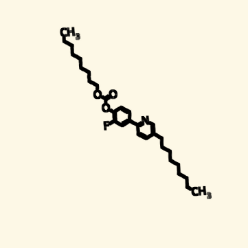 CCCCCCCCCOC(=O)Oc1ccc(-c2ccc(CCCCCCCCC)cn2)cc1F